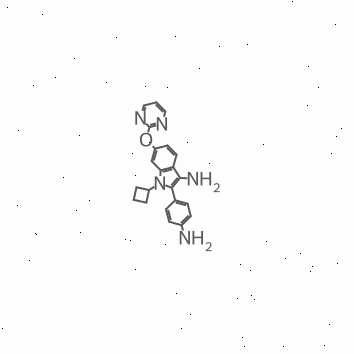 Nc1ccc(-c2c(N)c3ccc(Oc4ncccn4)cc3n2C2CCC2)cc1